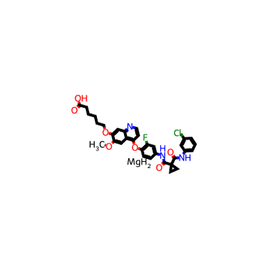 COc1cc2c(Oc3ccc(NC(=O)C4(C(=O)Nc5cccc(Cl)c5)CC4)cc3F)ccnc2cc1OCCCCCC(=O)O.[MgH2]